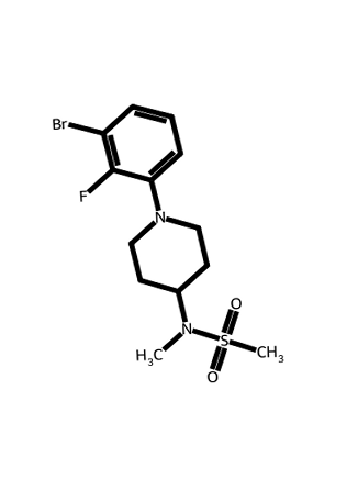 CN(C1CCN(c2cccc(Br)c2F)CC1)S(C)(=O)=O